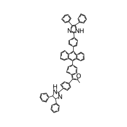 Cc1oc2cc(-c3c4ccccc4c(-c4ccc(-c5nc(-c6ccccc6)c(-c6ccccc6)[nH]5)cc4)c4ccccc34)ccc2c1-c1ccc(C2=NC(c3ccccc3)C(c3ccccc3)N2)cc1